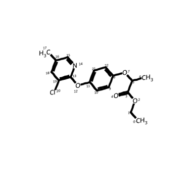 CCOC(=O)C(C)Oc1ccc(Oc2ncc(C)cc2Cl)cc1